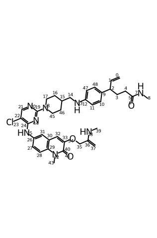 C=CC(CCC(=O)NC)c1ccc(NCC2CCN(c3ncc(Cl)c(Nc4ccc5c(c4)cc(OCC(=C)NC)c(=O)n5C)n3)CC2)cc1